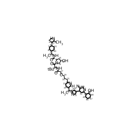 Cc1ncsc1-c1ccc([C@H](C)NC(=O)[C@@H]2C[C@@H](O)CN2C(=O)[C@@H](NC(=O)COCCCc2ccc(C(C)n3cc(-c4cc(-c5ccccc5O)nnc4N)cn3)cn2)C(C)(C)C)cc1